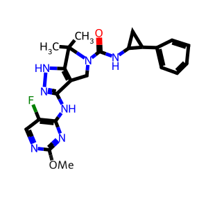 COc1ncc(F)c(Nc2n[nH]c3c2CN(C(=O)NC2CC2c2ccccc2)C3(C)C)n1